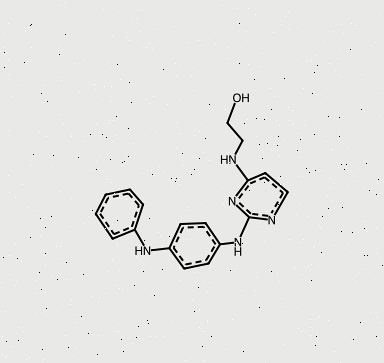 OCCNc1ccnc(Nc2ccc(Nc3ccccc3)cc2)n1